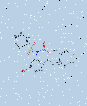 CC(C)(C)OC(=O)N(c1cc(O)ccc1OCc1ccccc1)S(=O)(=O)c1ccccc1